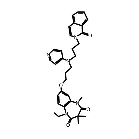 CCN1C(=O)C(C)(C)C(=O)N(C)c2cc(OCCCN(CCCn3ccc4ccccc4c3=O)c3ccncc3)ccc21